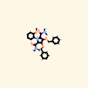 COc1ccccc1-n1c(C(=O)N(C)C)c(OCc2ccccc2)c(OCc2ccccc2)c1C(=O)N(C)C